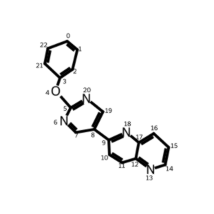 c1ccc(Oc2ncc(-c3ccc4ncccc4n3)cn2)cc1